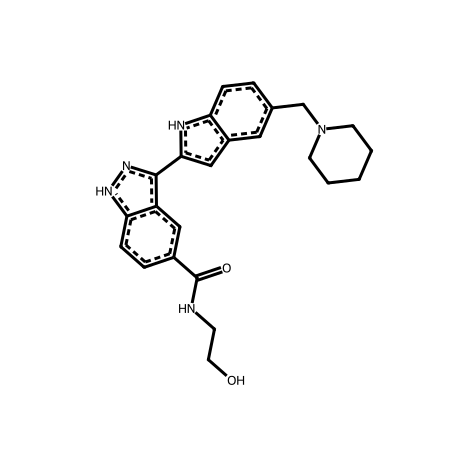 O=C(NCCO)c1ccc2[nH]nc(-c3cc4cc(CN5CCCCC5)ccc4[nH]3)c2c1